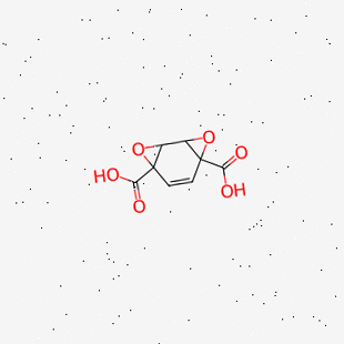 O=C(O)C12C=CC3(C(=O)O)OC3C1O2